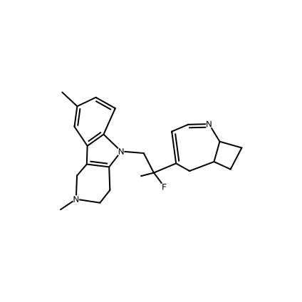 Cc1ccc2c(c1)c1c(n2CC(C)(F)C2=CC=NC3CCC3C2)CCN(C)C1